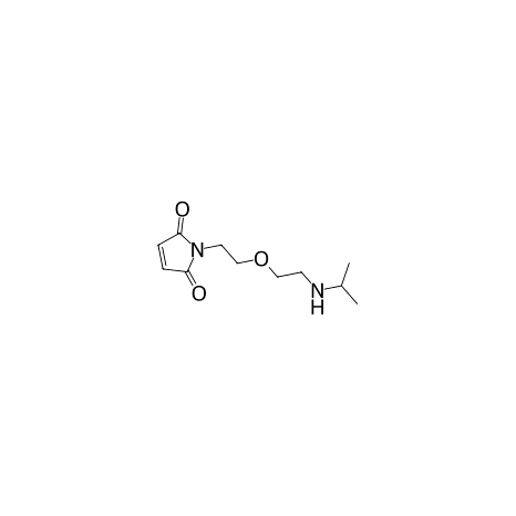 CC(C)NCCOCCN1C(=O)C=CC1=O